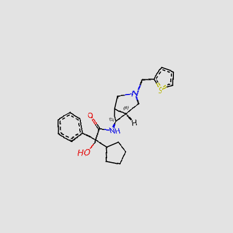 O=C(N[C@H]1C2CN(Cc3cccs3)C[C@@H]21)C(O)(c1ccccc1)C1CCCC1